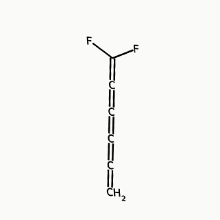 C=C=C=C=C=C(F)F